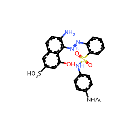 CC(=O)Nc1ccc(NS(=O)(=O)c2ccccc2/N=N/c2c(N)ccc3cc(S(=O)(=O)O)cc(O)c23)cc1